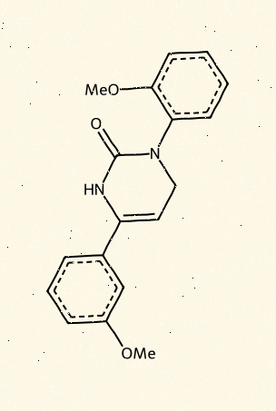 COc1cccc(C2=CCN(c3ccccc3OC)C(=O)N2)c1